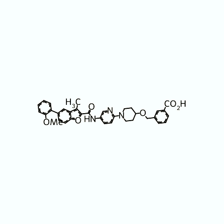 COc1ccccc1-c1ccc2oc(C(=O)Nc3ccc(N4CCC(OCc5cccc(C(=O)O)c5)CC4)nc3)c(C)c2c1